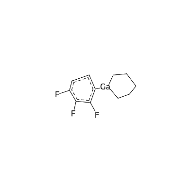 Fc1cc[c]([Ga]2[CH2]CCC[CH2]2)c(F)c1F